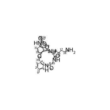 Cc1ccc2c(c1)NC(=O)CNC(=O)C(CCCCN)NC(=O)c1cc(NS(C)(=O)=O)ccc1OC2